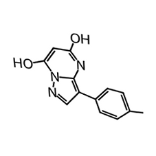 Cc1ccc(-c2cnn3c(O)cc(O)nc23)cc1